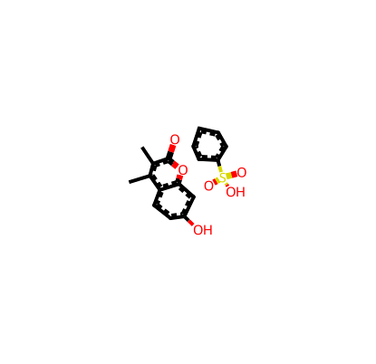 Cc1c(C)c2ccc(O)cc2oc1=O.O=S(=O)(O)c1ccccc1